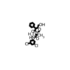 CC(C)(C(=O)Nc1cc(Cl)cc(Cl)c1)N1COC(CO)=C(c2ccccc2)C1=O